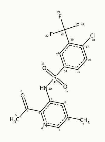 CC(=O)c1ncc(C)cc1NS(=O)(=O)c1ccc(Cl)c(C(F)(F)F)c1